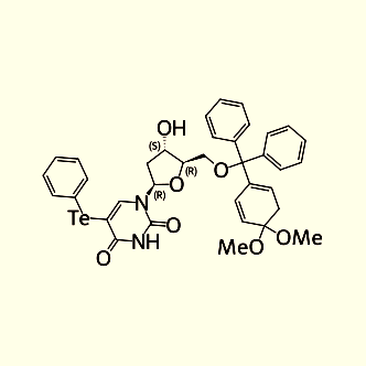 COC1(OC)C=CC(C(OC[C@H]2O[C@@H](n3cc([Te]c4ccccc4)c(=O)[nH]c3=O)C[C@@H]2O)(c2ccccc2)c2ccccc2)=CC1